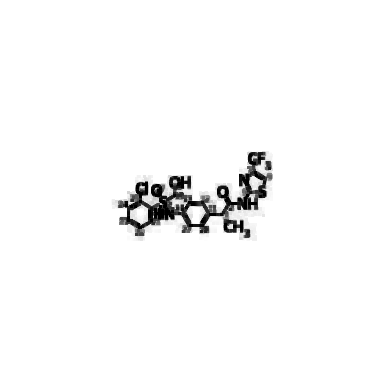 C[C@@H](C(=O)Nc1nc(C(F)(F)F)cs1)c1ccc(N[SH](=O)(CO)c2ccccc2Cl)cc1